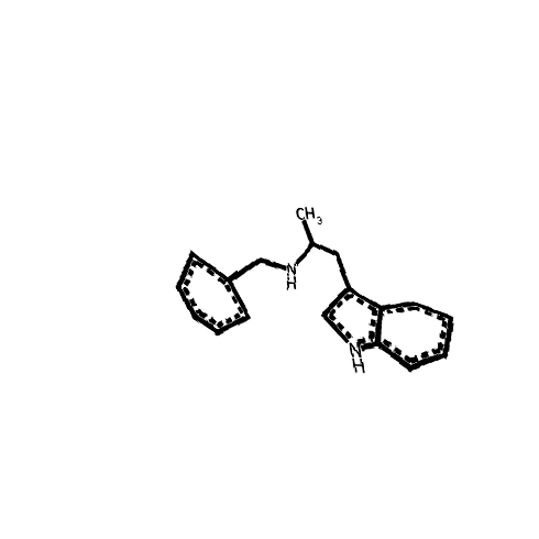 CC(Cc1c[nH]c2ccccc12)NCc1ccccc1